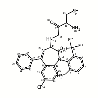 Cc1cccc(C(F)(F)F)c1N1C(=O)C(NCC(=O)C(N)CS)N=C(c2ccccc2)c2cc(Cl)ccc21